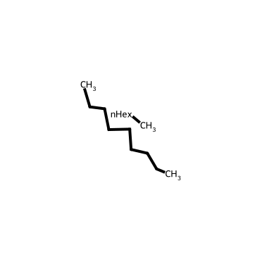 CCCCCCC.CCCCCCCCC